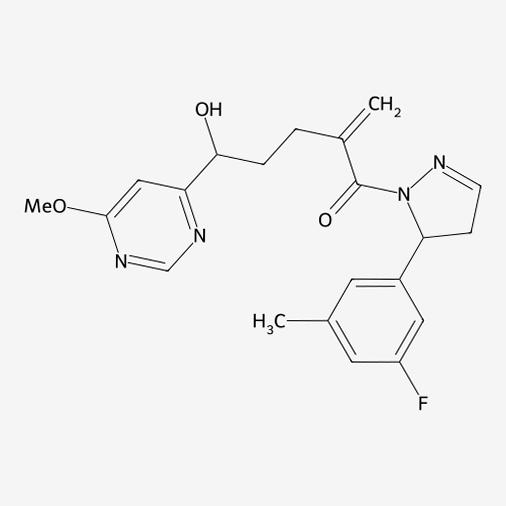 C=C(CCC(O)c1cc(OC)ncn1)C(=O)N1N=CCC1c1cc(C)cc(F)c1